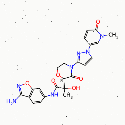 Cn1cc(-n2ccc(N3CCO[C@H](C(C)(O)C(=O)Nc4ccc5c(N)noc5c4)C3=O)n2)ccc1=O